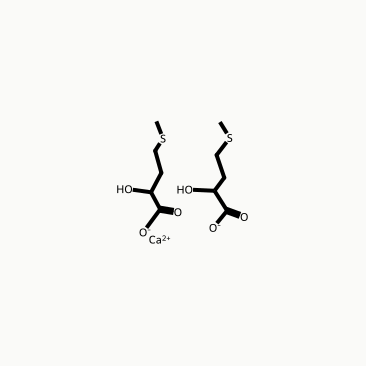 CSCCC(O)C(=O)[O-].CSCCC(O)C(=O)[O-].[Ca+2]